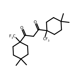 CC1(C)CCC(C(=O)CC(=O)C2(C(F)(F)F)CCC(C)(C)CC2)(C(F)(F)F)CC1